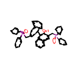 O=P(Cc1cc(-c2c(O)c(CP(=O)(c3ccccc3)c3ccccc3)cc3ccccc23)c2ccccc2c1)(c1ccccc1)c1ccccc1